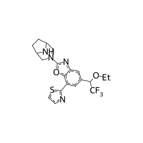 CCOC(c1cc(-c2nccs2)c2oc(N3CC4CCC(C3)N4)nc2c1)C(F)(F)F